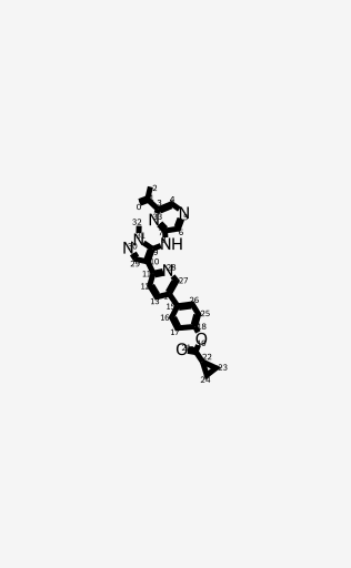 C=C(C)c1cncc(Nc2c(-c3ccc(-c4ccc(OC(=O)C5CC5)cc4)cn3)cnn2C)n1